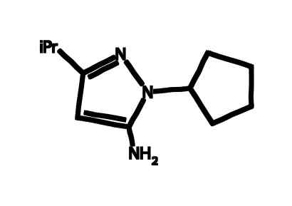 CC(C)c1cc(N)n(C2CCCC2)n1